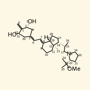 C=C1[C@H](O)CC(=C/C=C2\CCC[C@]3(C)[C@@H](C(C)CN4CCC[C@@H]4C(C)(C)OC)CC[C@@H]23)C[C@H]1O